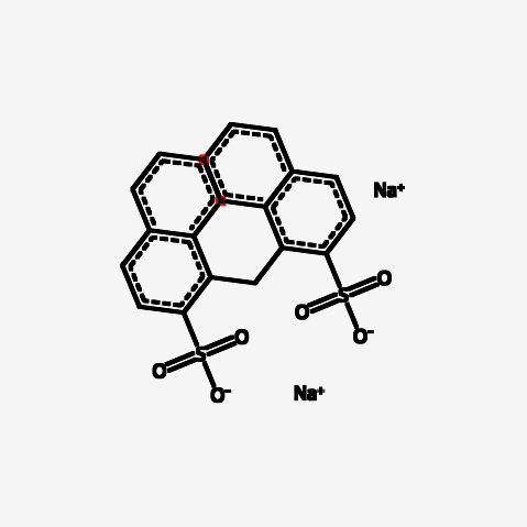 O=S(=O)([O-])c1ccc2ccccc2c1Cc1c(S(=O)(=O)[O-])ccc2ccccc12.[Na+].[Na+]